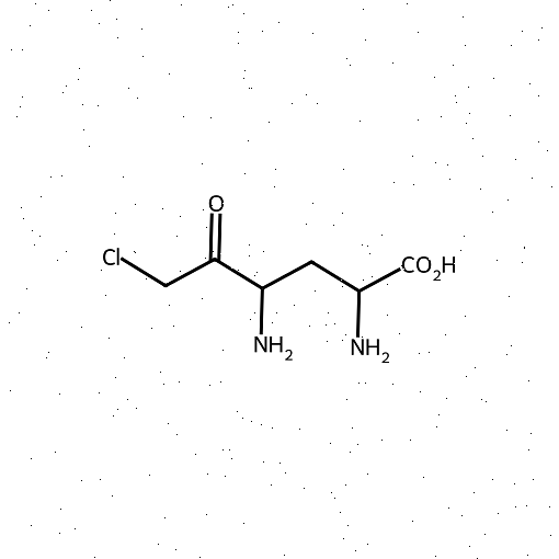 NC(CC(N)C(=O)CCl)C(=O)O